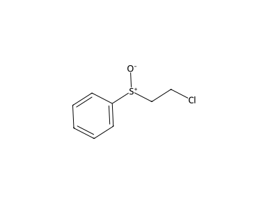 [O-][S+](CCCl)c1ccccc1